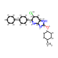 C[C@H]1CC[C@H](Oc2nc3nc(-c4ccc(-c5ccccc5)cc4)c(Cl)cc3[nH]2)CC1